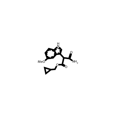 COc1ccc2[nH]cc(C(C(N)=O)C(=O)OCC3CC3)c2c1